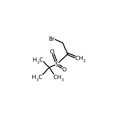 C=C(CBr)S(=O)(=O)C(C)(C)C